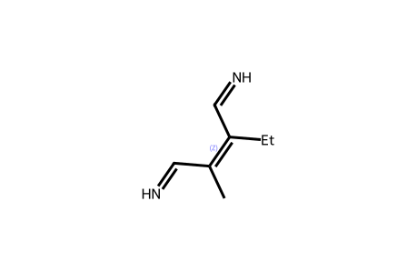 CC/C(C=N)=C(\C)C=N